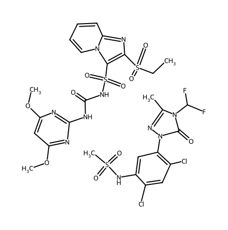 CCS(=O)(=O)c1nc2ccccn2c1S(=O)(=O)NC(=O)Nc1nc(OC)cc(OC)n1.Cc1nn(-c2cc(NS(C)(=O)=O)c(Cl)cc2Cl)c(=O)n1C(F)F